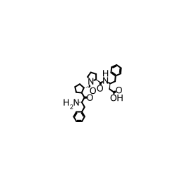 N[C@@H](Cc1ccccc1)C(=O)C1CCC[C@@H]1C(=O)N1CCC[C@H]1C(=O)N[C@H](CC(=O)O)Cc1ccccc1